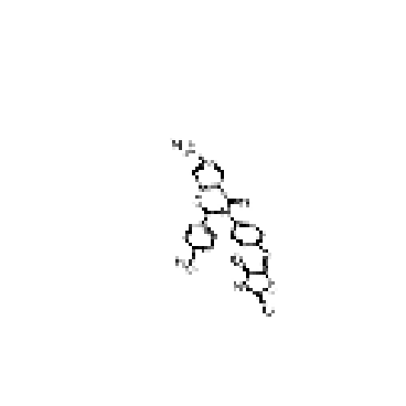 Cc1ccc(C(=O)N(C(=O)c2ccc(C)cc2)c2ccc(C=C3SC(=O)NC3=O)cc2)cc1